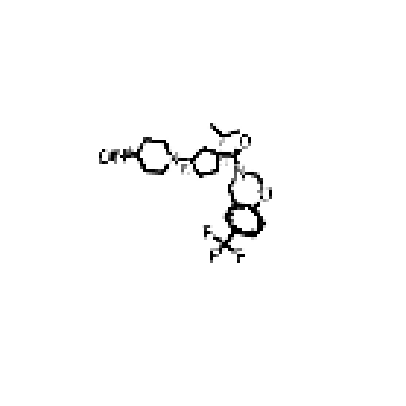 [C-]#[N+]C1CCN([C@@H]2CC[C@@](C(=O)N3COc4ccc(C(F)(F)F)cc4C3)(C(C)C)C2)CC1